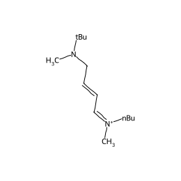 CCCC/[N+](C)=C\C=CCN(C)C(C)(C)C